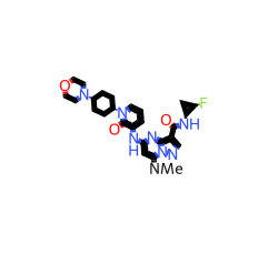 CNc1cc(Nc2cccn([C@H]3CC[C@@H](N4CCOCC4)CC3)c2=O)nc2c(C(=O)N[C@H]3C[C@H]3F)cnn12